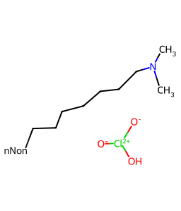 CCCCCCCCCCCCCCCCN(C)C.[O-][Cl+2]([O-])O